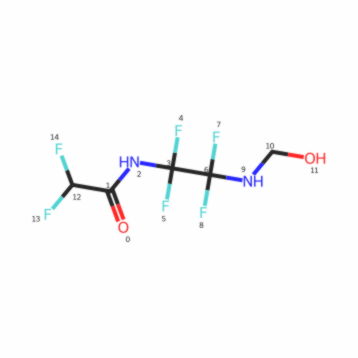 O=C(NC(F)(F)C(F)(F)NCO)C(F)F